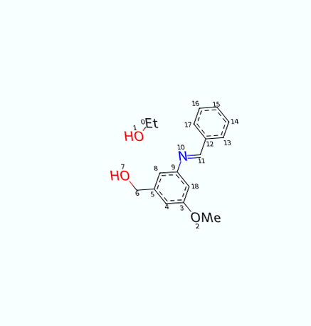 CCO.COc1cc(CO)cc(N=Cc2ccccc2)c1